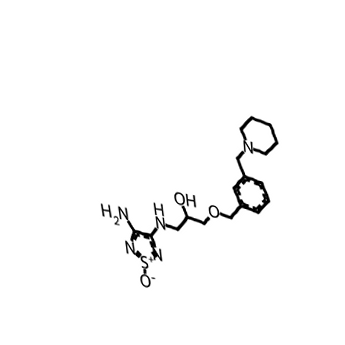 Nc1n[s+]([O-])nc1NCC(O)COCc1cccc(CN2CCCCC2)c1